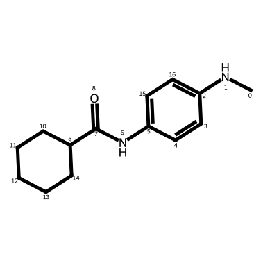 CNc1ccc(NC(=O)C2CCCCC2)cc1